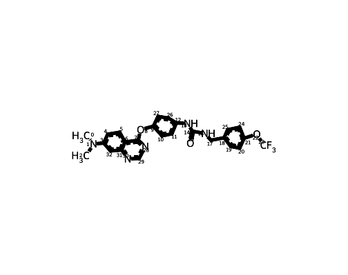 CN(C)c1ccc2c(Oc3ccc(NC(=O)NCc4ccc(OC(F)(F)F)cc4)cc3)ncnc2c1